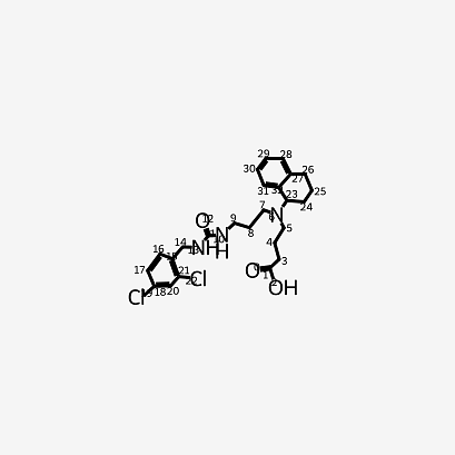 O=C(O)CCCN(CCCNC(=O)NCc1ccc(Cl)cc1Cl)C1CCCc2ccccc21